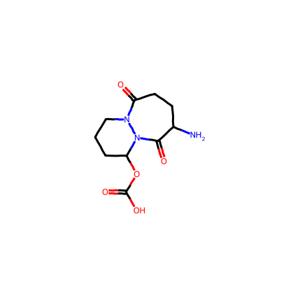 NC1CCC(=O)N2CCCC(OC(=O)O)N2C1=O